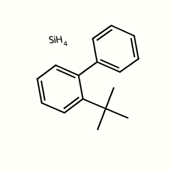 CC(C)(C)c1ccccc1-c1ccccc1.[SiH4]